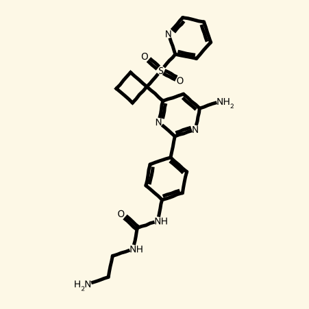 NCCNC(=O)Nc1ccc(-c2nc(N)cc(C3(S(=O)(=O)c4ccccn4)CCC3)n2)cc1